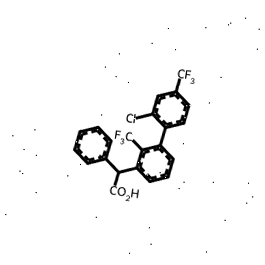 O=C(O)C(c1ccccc1)c1cccc(-c2ccc(C(F)(F)F)cc2Cl)c1C(F)(F)F